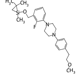 COCCc1ccc(N2CCN(c3cccc(CO[Si]4(C)CC4(C)C)c3F)CC2)cc1